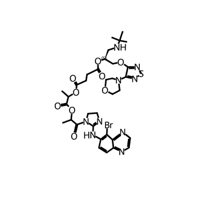 CC(OC(=O)CCC(=O)O[C@@H](CNC(C)(C)C)COc1nsnc1N1CCOCC1)C(=O)OC(C)C(=O)N1CCN=C1Nc1ccc2nccnc2c1Br